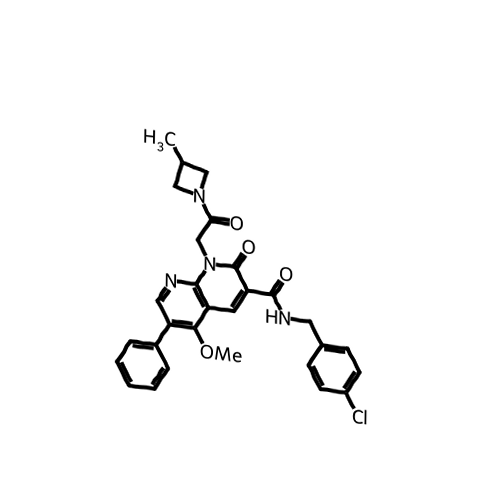 COc1c(-c2ccccc2)cnc2c1cc(C(=O)NCc1ccc(Cl)cc1)c(=O)n2CC(=O)N1CC(C)C1